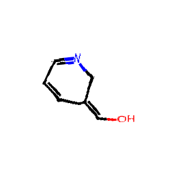 O/C=C1/C=C[C]=NC1